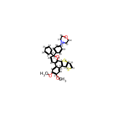 COc1cc2c3c(c4sc5ccsc5c4c2cc1OC)OC(c1ccccc1)(c1ccc(N2CCOCC2)cc1)C=C3